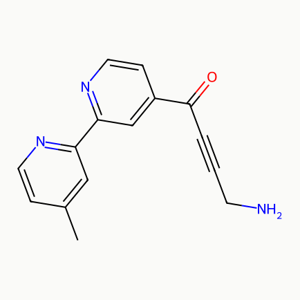 Cc1ccnc(-c2cc(C(=O)C#CCN)ccn2)c1